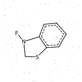 FN1CSc2ccccc21